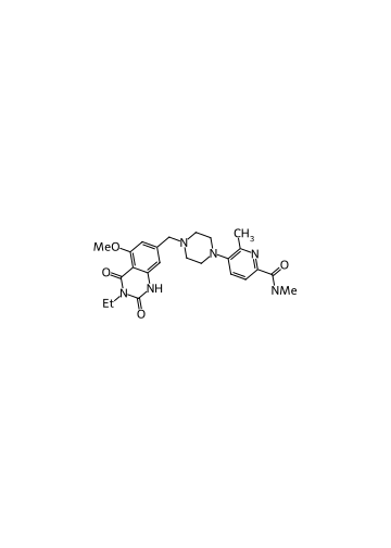 CCn1c(=O)[nH]c2cc(CN3CCN(c4ccc(C(=O)NC)nc4C)CC3)cc(OC)c2c1=O